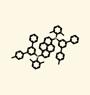 Cc1ccc(-c2cc(-c3ccccc3)cc(N(c3c(C)cccc3C)c3ccc4ccc5c(N(c6cc(-c7ccccc7)cc(-c7ccc(C)cc7)c6)c6c(C)cccc6C)ccc6ccc3c4c65)c2)cc1